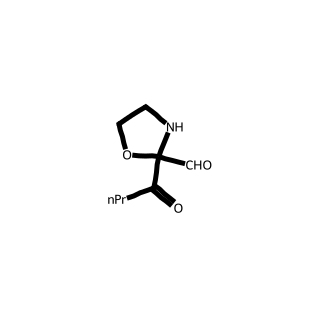 CCCC(=O)C1(C=O)NCCO1